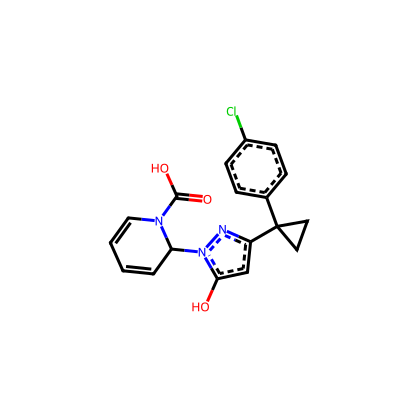 O=C(O)N1C=CC=CC1n1nc(C2(c3ccc(Cl)cc3)CC2)cc1O